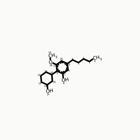 CCCCCc1cc(O)c(C2CCCC(O)C2)c(OC)c1